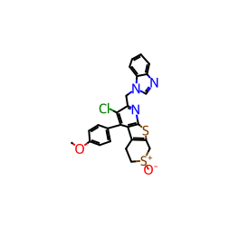 COc1ccc(-c2c(Cl)c(Cn3cnc4ccccc43)nc3sc4c(c23)CC[S+]([O-])C4)cc1